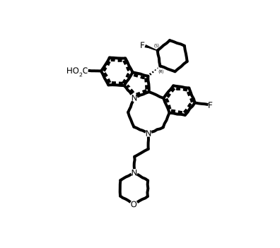 O=C(O)c1ccc2c([C@H]3CCCC[C@@H]3F)c3n(c2c1)CCN(CCN1CCOCC1)Cc1cc(F)ccc1-3